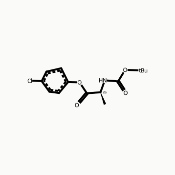 C[C@H](NC(=O)OC(C)(C)C)C(=O)Oc1ccc(Cl)cc1